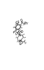 CC(C)C(=O)c1cc(S(=O)(=O)N2CCN(C)CC2)c(F)cc1Cl